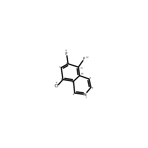 Fc1cc(Cl)c2cnccc2c1F